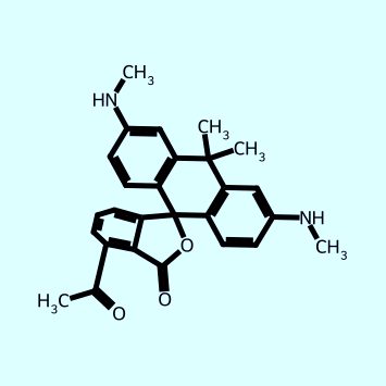 CNc1ccc2c(c1)C(C)(C)c1cc(NC)ccc1C21OC(=O)c2c(C(C)=O)cccc21